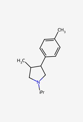 Cc1ccc(C2CN(C(C)C)CC2C)cc1